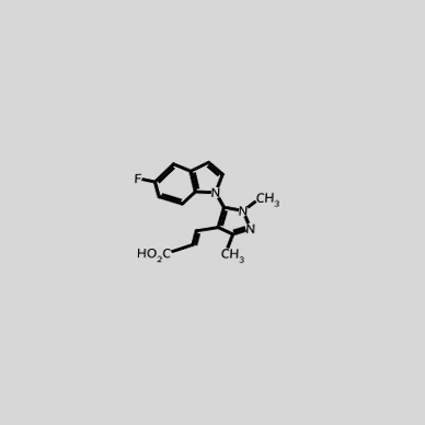 Cc1nn(C)c(-n2ccc3cc(F)ccc32)c1C=CC(=O)O